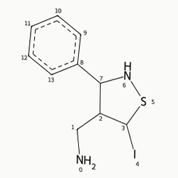 NCC1C(I)SNC1c1ccccc1